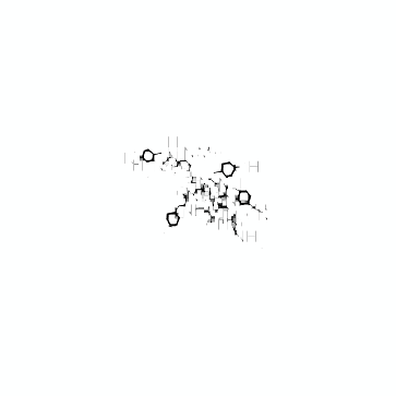 CN[C@@H](CSSC[C@@H](NC(=O)[C@@H](N)Cc1ccc(Cl)cc1)C(=O)N[C@@H](Cc1ccc(O)cc1)C(=O)N[C@H](Cc1ccc(C(=O)C#N)cc1)C(=O)N[C@@H](CCCCN)C(=O)NC(C=O)C(C)O)C(=O)N[C@H](Cc1ccc(O)cc1)C(N)=O